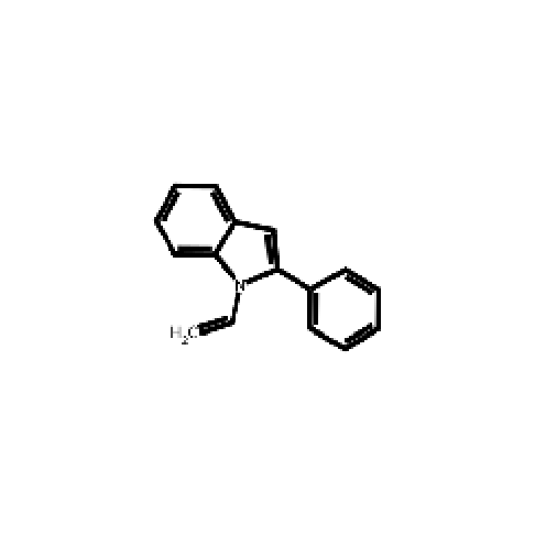 C=Cn1c(-c2ccccc2)cc2ccccc21